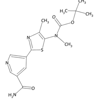 Cc1nc(-c2cncc(C(N)=O)c2)sc1N(C)C(=O)OC(C)(C)C